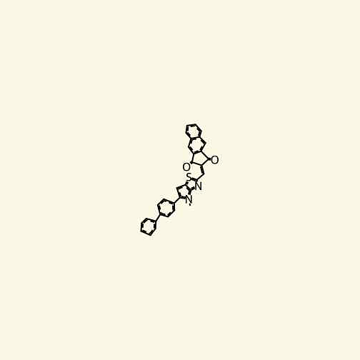 Cn1c(-c2ccc(-c3ccccc3)cc2)cc2sc(C=C3C(=O)c4cc5ccccc5cc4C3=O)nc21